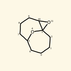 C1CCC23OC(C1)CCCC2O3